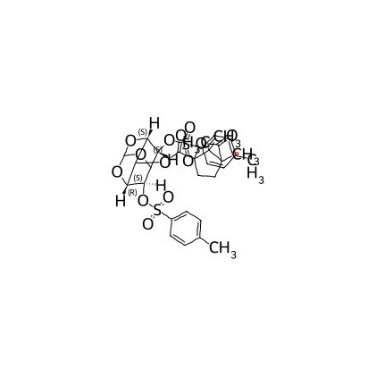 Cc1ccc(S(=O)(=O)O[C@@H]2C3OC4O[C@@H]2C(OC(=O)C25CCC(C)(C(=O)O2)C5(C)C)[C@H](O4)[C@@H]3OS(=O)(=O)c2ccc(C)cc2)cc1